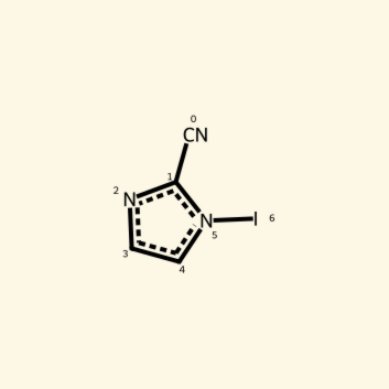 N#Cc1nccn1I